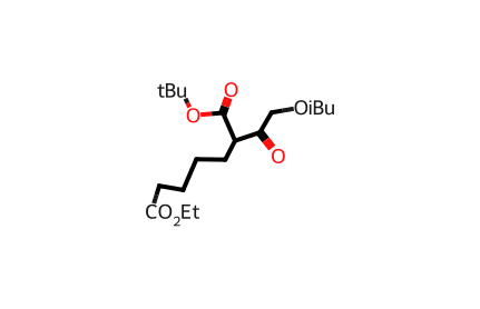 CCOC(=O)CCCCC(C(=O)COCC(C)C)C(=O)OC(C)(C)C